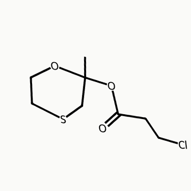 CC1(OC(=O)CCCl)CSCCO1